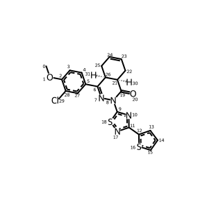 COc1ccc(C2=NN(c3nc(-c4cccs4)ns3)C(=O)[C@@H]3CC=CC[C@H]23)cc1Cl